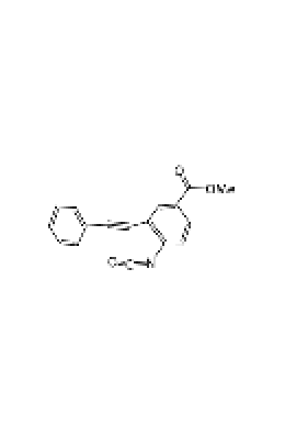 COC(=O)c1ccc(N=C=O)c(C#Cc2ccccc2)c1